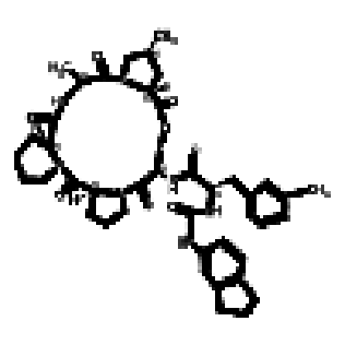 Cc1cccc(C[C@H](NC(=O)Nc2ccc3c(c2)CCC3)C(=O)N[C@H]2COC(=O)[C@@H]3C[C@@H](C)CN3C(=O)[C@H](C)NC(=O)[C@@H]3CCCCN3C(=O)[C@@H]3CCCN3C2=O)c1